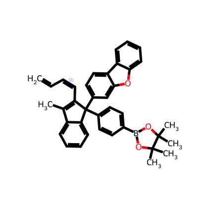 C=C/C=C\C1=C(C)c2ccccc2C1(c1ccc(B2OC(C)(C)C(C)(C)O2)cc1)c1ccc2c(c1)oc1ccccc12